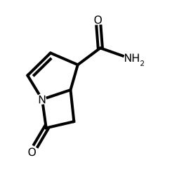 NC(=O)C1C=CN2C(=O)CC12